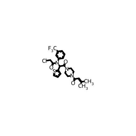 CC(C)=CC(=O)N1CCN(C(=O)C(c2cccs2)N(C(=O)CCl)c2cccc(C(F)(F)F)c2)CC1